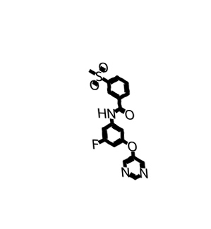 CS(=O)(=O)c1cccc(C(=O)Nc2cc(F)cc(Oc3cncnc3)c2)c1